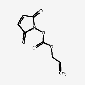 C=CCOC(=O)ON1C(=O)C=CC1=O